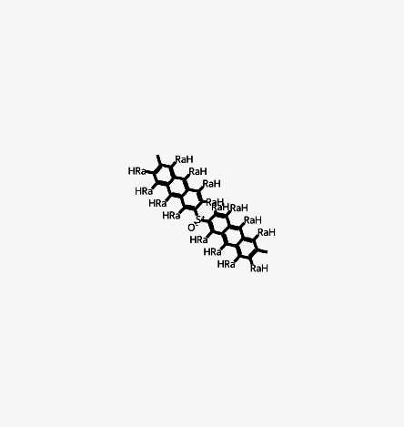 Cc1[c]([RaH])[c]([RaH])c2[c]([RaH])c3[c]([RaH])c([S+]([O-])c4[c]([RaH])[c]([RaH])c5[c]([RaH])c6[c]([RaH])c(C)[c]([RaH])[c]([RaH])c6[c]([RaH])c5[c]4[RaH])[c]([RaH])[c]([RaH])c3[c]([RaH])c2[c]1[RaH]